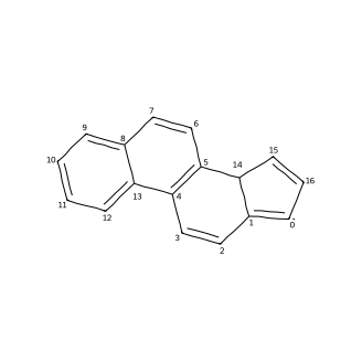 [C]1=C2C=Cc3c(ccc4ccccc34)C2C=C1